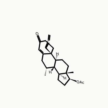 C=C=C[C@]12CCC(=O)C=C1C[C@@H](C)[C@H]1[C@@H]3CC[C@H](OC(C)=O)[C@@]3(C)CC[C@@H]12